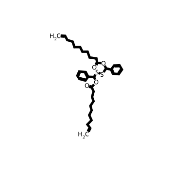 C=CCCCCCCCCC(=O)OC(SSC(OC(=O)CCCCCCCCC=C)c1ccccc1)c1ccccc1